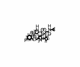 CC[C@@H](C(=O)C(=O)NC1CC1)N(C(=O)[C@@H]1C[C@@H](S(=O)(=O)c2ccc(F)cc2C(F)(F)F)CN1)c1cc(C)nn1C1CCC1